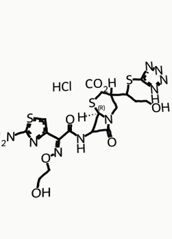 Cl.Nc1nc(C(=NOCCO)C(=O)NC2C(=O)N3CC(C(=O)O)(C(CCO)Sc4nnn[nH]4)CS[C@H]23)cs1